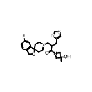 CC1(O)CN(C(=O)C(Cc2cscn2)CN2CCC3(CC2)OCc2ccc(F)cc23)C1